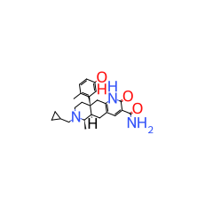 Cc1ccc(O)cc1[C@]12CCN(CC3CC3)[C@H](C)[C@@H]1Cc1cc(C(N)=O)c(=O)[nH]c1C2